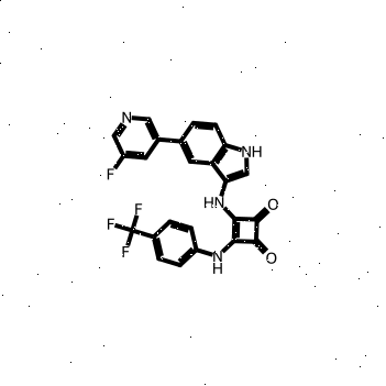 O=c1c(Nc2ccc(C(F)(F)F)cc2)c(Nc2c[nH]c3ccc(-c4cncc(F)c4)cc23)c1=O